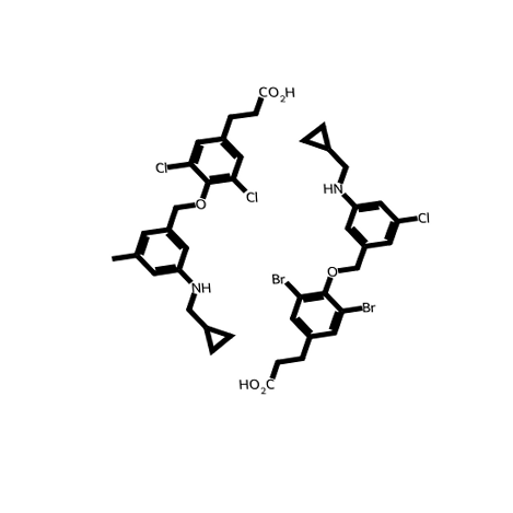 Cc1cc(COc2c(Cl)cc(CCC(=O)O)cc2Cl)cc(NCC2CC2)c1.O=C(O)CCc1cc(Br)c(OCc2cc(Cl)cc(NCC3CC3)c2)c(Br)c1